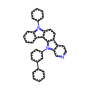 c1ccc(-c2cccc(-n3c4cnccc4c4ccc5c(c6ccccc6n5-c5ccccc5)c43)c2)cc1